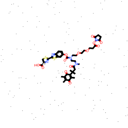 CC1=C(C)C(=O)C(C(C)(C)CC(=O)N(C)CCN(CCOCCOCCC(=O)ON2C(=O)CCC2=O)C(=O)Oc2ccc3nc(C4=N[C@@H](C(=O)O)CS4)sc3c2)=C(C)C1=O